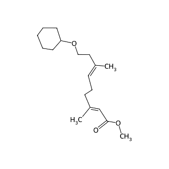 COC(=O)C=C(C)CCC=C(C)CCOC1CCCCC1